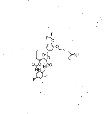 CNC(=O)CCCCOc1cc(-c2nc(C(=O)NCc3ccc(F)cc3F)c([C@H](CC(C)(C)C)OC(N)=O)o2)ccc1OC(F)F